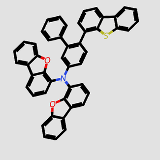 c1ccc(-c2cc(N(c3cccc4c3oc3ccccc34)c3cccc4c3oc3ccccc34)ccc2-c2cccc3c2sc2ccccc23)cc1